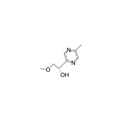 COC[C@@H](O)c1cnc(C)cn1